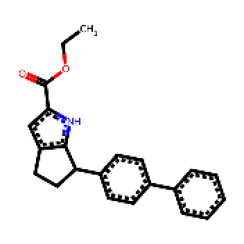 CCOC(=O)c1cc2c([nH]1)C(c1ccc(-c3ccccc3)cc1)CC2